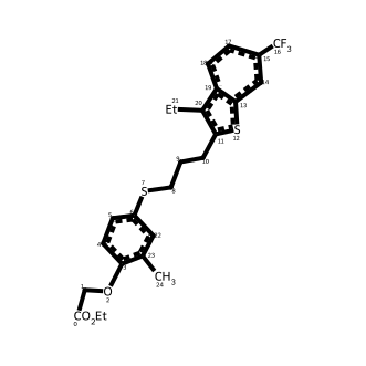 CCOC(=O)COc1ccc(SCCCc2sc3cc(C(F)(F)F)ccc3c2CC)cc1C